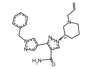 C=CCN1CCC[C@@H](n2cc(C(N)=O)c(-c3cnn(Cc4ccccc4)c3)n2)C1